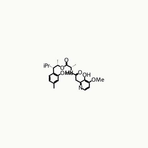 COc1cc(C)ccc1[C@H](C(C)C)[C@H](C)OC(=O)[C@H](C)NC(=O)Cc1nccc(OC)c1O